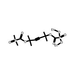 CCOP(=O)(OCC)C(=O)OC(C)(C)C#CC(C)(C)OC(=O)P(C)(C)=O